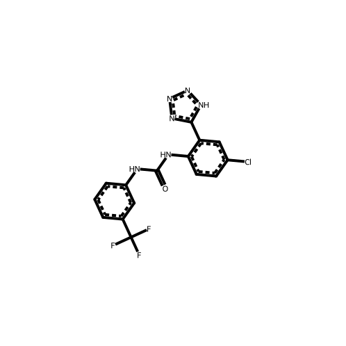 O=C(Nc1cccc(C(F)(F)F)c1)Nc1ccc(Cl)cc1-c1nnn[nH]1